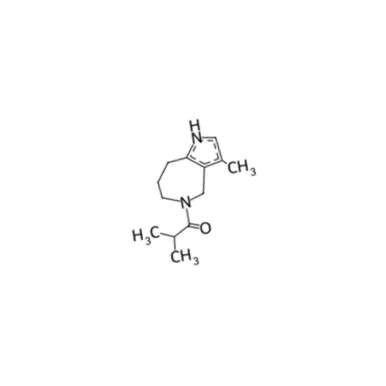 Cc1c[nH]c2c1CN(C(=O)C(C)C)CCC2